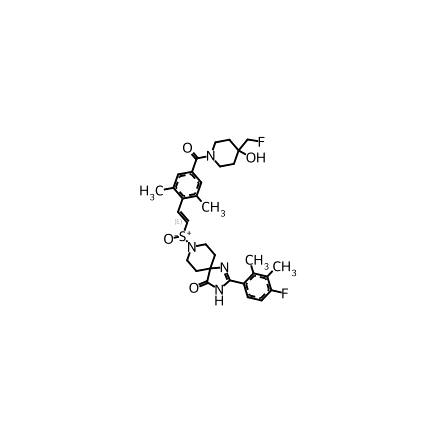 Cc1cc(C(=O)N2CCC(O)(CF)CC2)cc(C)c1/C=C/[S+]([O-])N1CCC2(CC1)N=C(c1ccc(F)c(C)c1C)NC2=O